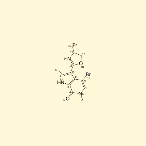 Cc1[nH]c2c(=O)n(C)cc(Br)c2c1C1=NC(C(C)C)CO1